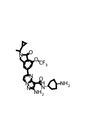 CC(C1CC1)N1Cc2cc(-c3ccn4nc(N)c(C(=O)N[C@H]5CC[C@H](N)CC5)c4n3)cc(OC(F)(F)F)c2C1=O